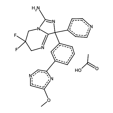 CC(=O)O.COc1cncc(-c2cccc(C3(c4ccncc4)N=C(N)N4CC(F)(F)CN=C43)c2)n1